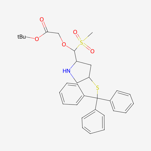 CC(C)(C)OC(=O)COC(C1CC(SC(c2ccccc2)(c2ccccc2)c2ccccc2)CN1)S(C)(=O)=O